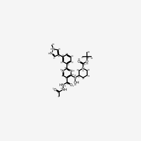 CC(=O)NNC(=O)c1cnc(-c2cccc(-c3cnn(C)c3)c2)nc1N(O)C1CCCN(C(=O)OC(C)(C)C)C1